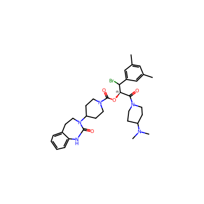 Cc1cc(C)cc(C(Br)[C@H](OC(=O)N2CCC(N3CCc4ccccc4NC3=O)CC2)C(=O)N2CCC(N(C)C)CC2)c1